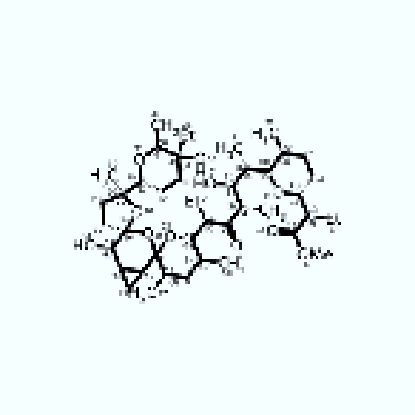 CC[C@@H](C(=O)[C@@H](C)[C@@H](O)[C@H](C)[C@@H]1O[C@@H]([C@@H](CC)C(=O)OC)CC[C@@H]1C)[C@H]1OC2(O[C@@]3(CC[C@@](C)([C@H]4CC[C@](O)(CC)[C@H](C)O4)O3)[C@H](O)C3CC32)[C@H](C)C[C@@H]1C